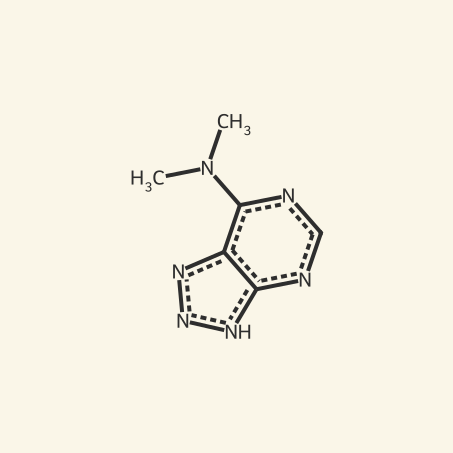 CN(C)c1ncnc2[nH]nnc12